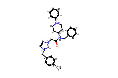 N#Cc1ccc(CN2C=CN(CC(=O)N(Cc3ccccc3)C3CCN(c4ccccc4)CC3)C2)cc1